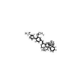 COc1cc(/C=C2\CCCN3C2=NOC3(CO)c2ccccc2S(F)(F)(F)(F)F)ccc1-n1cnc(C)c1